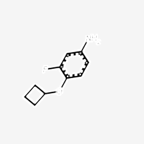 Nc1ccc(OC2CCC2)c(F)c1